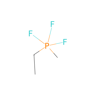 CCP(C)(F)(F)F